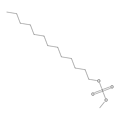 CCCCCCCCCCCCCOS(=O)(=O)OC